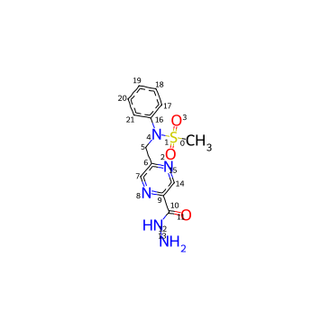 CS(=O)(=O)N(Cc1cnc(C(=O)NN)cn1)c1ccccc1